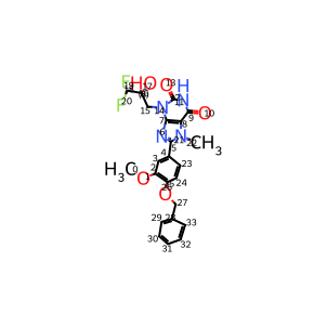 COc1cc(-c2nc3c(c(=O)[nH]c(=O)n3C[C@H](O)C(F)F)n2C)ccc1OCc1ccccc1